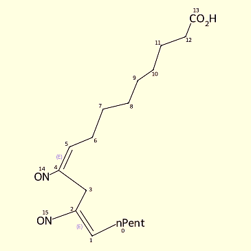 CCCCC/C=C(\C/C(=C\CCCCCCCC(=O)O)N=O)N=O